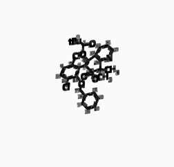 CC(C)(C)C(=O)OC1=C(c2c(C(F)(F)F)ccc(Cl)c2OCc2ccccc2)S(=O)(=O)C(C)(C)c2ncccc21